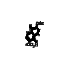 CC(=O)Oc1ccc2c(C)c(C(=O)O)ccc2c1C